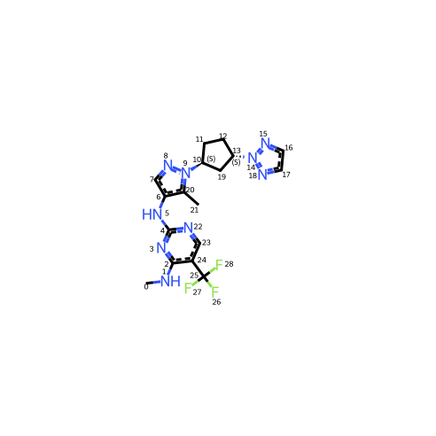 CNc1nc(Nc2cnn([C@H]3CC[C@H](n4nccn4)C3)c2C)ncc1C(F)(F)F